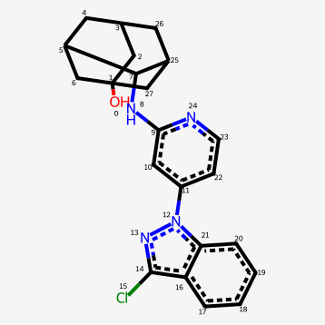 OC12CC3CC(C1)C(Nc1cc(-n4nc(Cl)c5ccccc54)ccn1)C(C3)C2